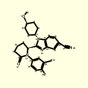 CO[C@H]1CC[C@H](n2c([C@@H]3CCCC(=O)N3c3ccc(F)c(F)c3)nc3cc(C#N)ccc32)CC1